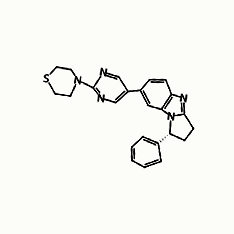 c1ccc([C@H]2CCc3nc4ccc(-c5cnc(N6CCSCC6)nc5)cc4n32)cc1